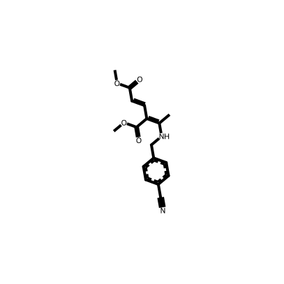 COC(=O)C=CC(C(=O)OC)=C(C)NCc1ccc(C#N)cc1